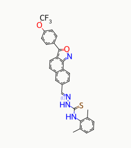 Cc1cccc(C)c1NC(=S)N/N=C/c1ccc2c(ccc3c(-c4ccc(OC(F)(F)F)cc4)onc32)c1